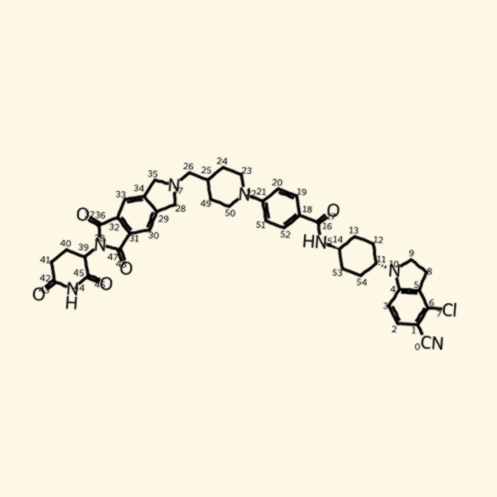 N#Cc1ccc2c(c1Cl)CCN2[C@H]1CC[C@H](NC(=O)c2ccc(N3CCC(CN4Cc5cc6c(cc5C4)C(=O)N(C4CCC(=O)NC4=O)C6=O)CC3)cc2)CC1